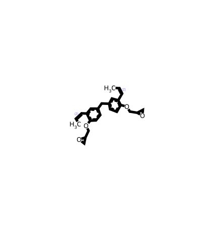 C/C=C\c1cc(Cc2ccc(OCC3CO3)c(/C=C\C)c2)ccc1OCC1CO1